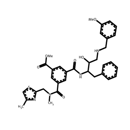 COC(=O)c1cc(C(=O)NC(Cc2ccccc2)C(O)CNCc2cccc(OC)c2)cc(C(=O)N(C)Cc2nc(C)cs2)c1